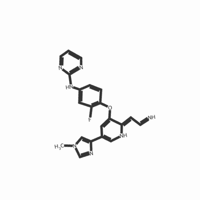 Cn1cnc(C2=CN/C(=C\C=N)C(Oc3ccc(Nc4ncccn4)cc3F)=C2)c1